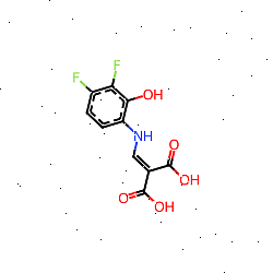 O=C(O)C(=CNc1ccc(F)c(F)c1O)C(=O)O